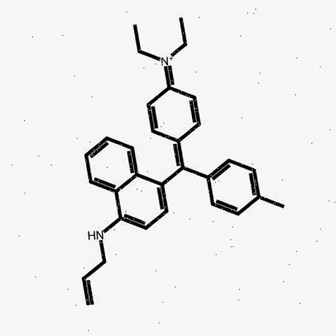 C=CCNc1ccc(C(=C2C=CC(=[N+](CC)CC)C=C2)c2ccc(C)cc2)c2ccccc12